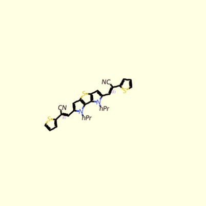 CCCn1c(/C=C(\C#N)c2cccs2)cc2sc3cc(/C=C(\C#N)c4cccs4)n(CCC)c3c21